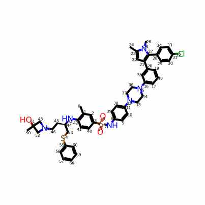 Cc1cc(S(=O)(=O)Nc2ccc(N3CCN(c4cccc(-c5cc(C)n(C)c5-c5ccc(Cl)cc5)c4)CC3)cc2)ccc1N[C@H](CCN1CC(C)(O)C1)CSc1ccccc1